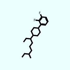 CCC(C)CCCC(CC)C1CCC(c2cccc(F)c2F)CC1